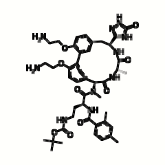 Cc1ccc(C(=O)N[C@@H](CCNC(=O)OC(C)(C)C)C(=O)N(C)[C@@H]2C(=O)N[C@@H](C)C(=O)N[C@H](c3n[nH]c(=O)[nH]3)Cc3ccc(OCCN)c(c3)-c3cc2ccc3OCCN)c(C)c1